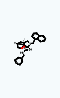 CCC[C@@H]1[C@@H]2CN[C@@]3(C(=O)NCc4ccccc4)[C@@H](C2)CN(Cc2cccc4ccccc24)[C@@H]13